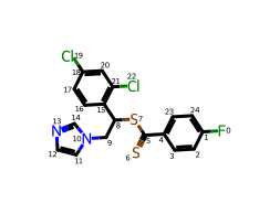 Fc1ccc(C(=S)SC(Cn2ccnc2)c2ccc(Cl)cc2Cl)cc1